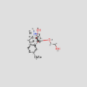 COc1ccc2c(c1)C13CCN(C)[C@H](C2)[C@H]1[C@H](O)C[C@@H](OCCO)C3